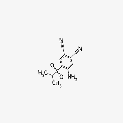 CC(C)S(=O)(=O)c1cc(C#N)c(C#N)cc1N